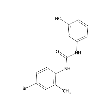 Cc1cc(Br)ccc1NC(=O)Nc1cccc(C#N)c1